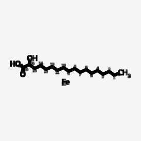 CCCCCCCCCCCCCCCCC(O)C(=O)O.[Fe]